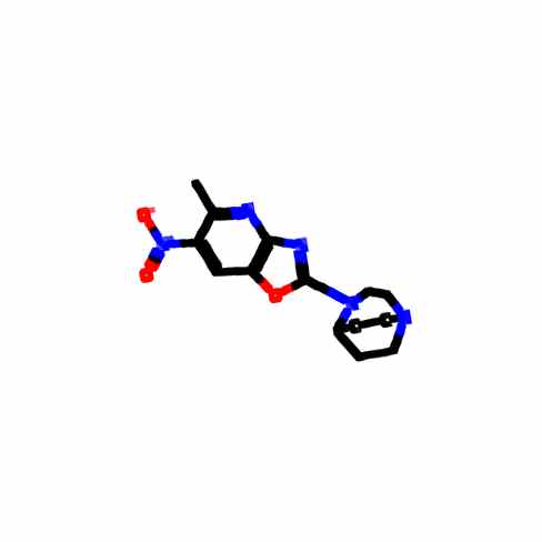 Cc1nc2nc(N3CCN4CCC3CC4)oc2cc1[N+](=O)[O-]